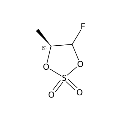 C[C@@H]1OS(=O)(=O)OC1F